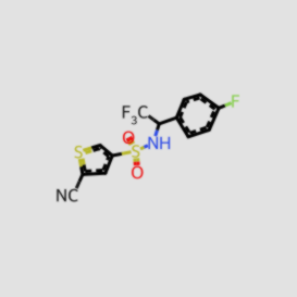 N#Cc1cc(S(=O)(=O)NC(c2ccc(F)cc2)C(F)(F)F)cs1